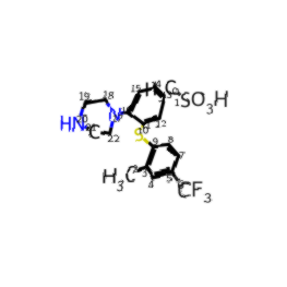 CS(=O)(=O)O.Cc1cc(C(F)(F)F)ccc1Sc1ccccc1N1CCNCC1